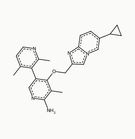 Cc1ccnc(C)c1-c1cnc(N)c(C)c1OCc1cn2cc(C3CC3)ccc2n1